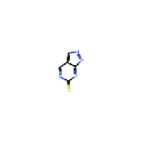 S=C1N=CC2=CN=NC2=N1